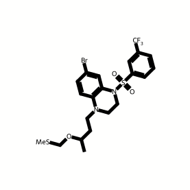 CSCOC(C)CCN1CCN(S(=O)(=O)c2cccc(C(F)(F)F)c2)c2cc(Br)ccc21